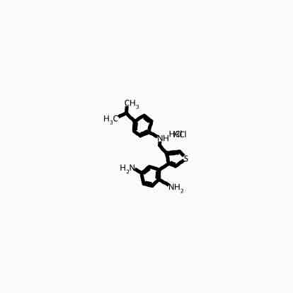 CC(C)c1ccc(NCc2cscc2-c2cc(N)ccc2N)cc1.Cl.Cl